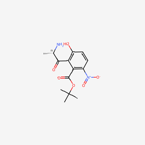 C[C@H](N)C(=O)c1c(O)ccc([N+](=O)[O-])c1C(=O)OC(C)(C)C